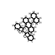 c1ccc2oc(-c3oc4ccccc4c3-c3c4ccccc4c(-c4cccc5ccccc45)c4ccccc34)cc2c1